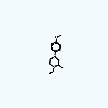 CCN1CCN(c2ccc(OC)cc2)CC1C